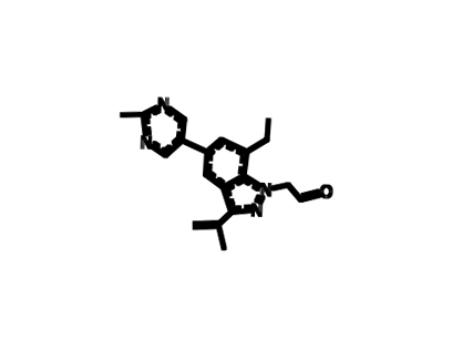 C=C(C)c1nn(CC=O)c2c(CC)cc(-c3cnc(C)nc3)cc12